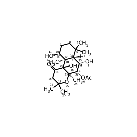 CC(=O)O[C@H]1[C@@H](O)[C@H]2C(C)(C)CC[C@H](O)[C@]2(C)[C@@]2(O)C(=O)CC(C)(C)O[C@]12C